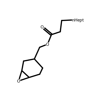 CCCCCCCCCC(=O)OCC1CCC2OC2C1